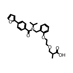 CC(COCCOc1ccccc1CN(C(=O)c1ccc(-c2ccco2)cc1)C(C)C)C(=O)O